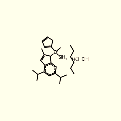 CC1=Cc2c(C(C)C)cc(C(C)C)cc2[CH]1[Zr]([CH3])([SiH3])[C]1=CC=CC1.CCCCCC.Cl.Cl